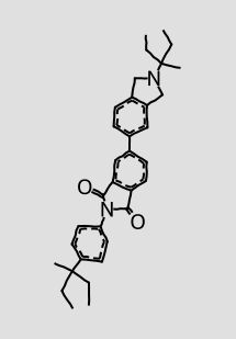 CCC(C)(CC)c1ccc(N2C(=O)c3ccc(-c4ccc5c(c4)CN(C(C)(CC)CC)C5)cc3C2=O)cc1